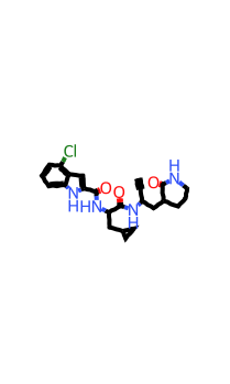 C#CC(CC1CCCNC1=O)NC(=O)C(CC1CC1)NC(=O)c1cc2c(Cl)cccc2[nH]1